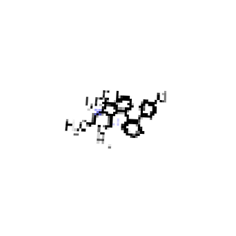 C=C/C=C1\C(=C/C)c2c(-c3ccccc3-c3ccc(Cl)cc3)cccc2C1(C)C